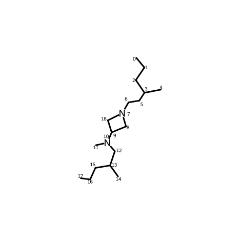 CCCC(C)CCN1CC(N(C)CC(C)CCC)C1